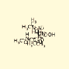 CCC(=O)NCCCCC(NC(=O)[C@H]1CC(O)CN1C(=O)[C@H]1CCCN1C(=O)CNC(C)C)C(=O)C(C)(C)C